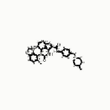 CC1CCN(Cc2ccc(NC(=O)c3sc4ncc(C#N)c5c4c3NC(=O)N5c3c(Cl)ccc4c3OCO4)cc2)CC1